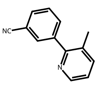 Cc1cccnc1-c1cccc(C#N)c1